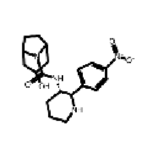 O=C(N[C@H]1CCCNC1c1ccc([N+](=O)[O-])cc1)N1C2CCC1CC(O)C2